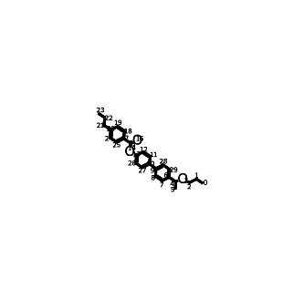 CCCOC(C)c1ccc(-c2ccc(OC(=O)c3ccc(CCC)cc3)cc2)cc1